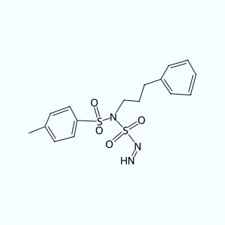 Cc1ccc(S(=O)(=O)N(CCCc2ccccc2)S(=O)(=O)N=N)cc1